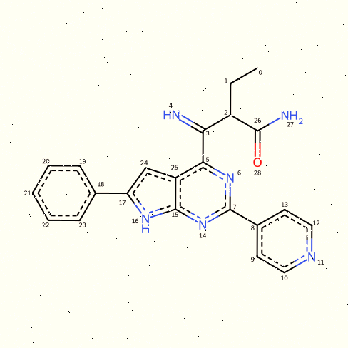 CCC(C(=N)c1nc(-c2ccncc2)nc2[nH]c(-c3ccccc3)cc12)C(N)=O